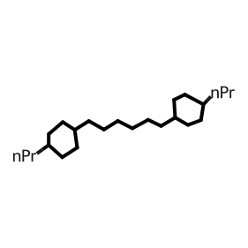 CCCC1CCC(CCCCCCC2CCC(CCC)CC2)CC1